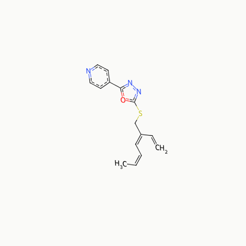 C=C/C(=C\C=C/C)CSc1nnc(-c2ccncc2)o1